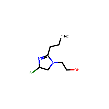 CCCCCCCCC1=NC(Br)CN1CCO